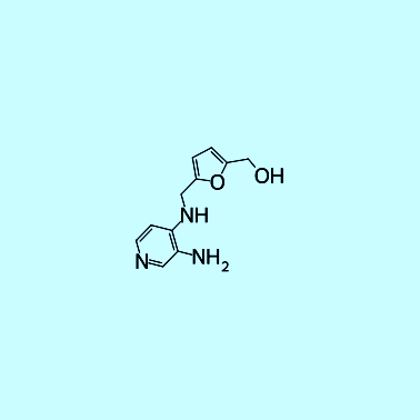 Nc1cnccc1NCc1ccc(CO)o1